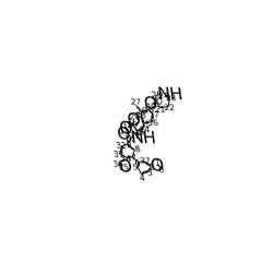 COc1cccc(-c2cc(C(=O)Nc3cc4ccc(OC5CCCNC5)c(C)c4oc3=O)ccc2OC)c1